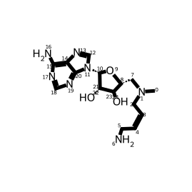 CN(C/C=C\CN)C[C@H]1O[C@@H](n2cnc3c(N)ncnc32)[C@@H](O)C1O